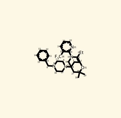 CCC1=C2CC(N3CCN(Cc4ccccc4)CC3)(CN1c1ncccc1C(F)(F)F)CC(C)(C)O2